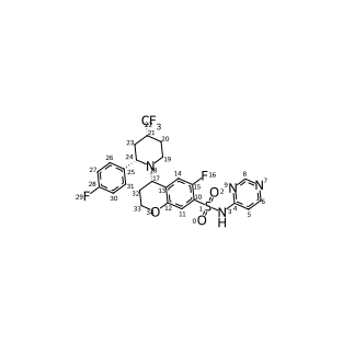 O=S(=O)(Nc1ccncn1)c1cc2c(cc1F)[C@@H](N1CC[C@@H](C(F)(F)F)C[C@H]1c1ccc(F)cc1)CCO2